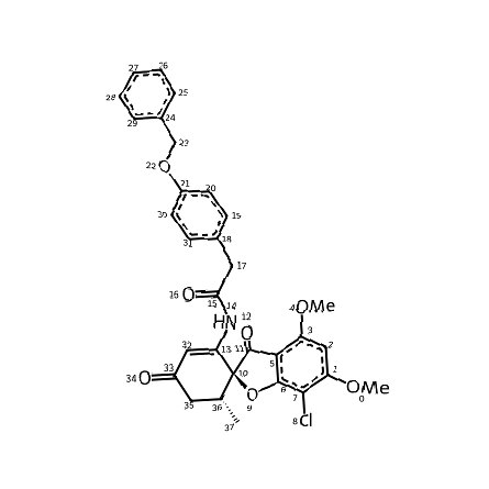 COc1cc(OC)c2c(c1Cl)O[C@]1(C2=O)C(NC(=O)Cc2ccc(OCc3ccccc3)cc2)=CC(=O)C[C@H]1C